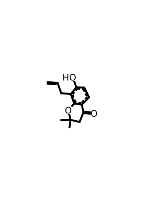 C=CCc1c(O)ccc2c1OC(C)(C)CC2=O